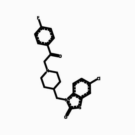 O=C(CN1CCC(Cn2c(=O)sc3cc(Cl)ccc32)CC1)c1ccc(F)cc1